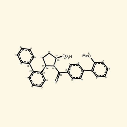 COc1ccccc1-c1ccc(C(=O)N2[C@@H](c3ccccc3-c3ccccc3)CC[C@H]2C(=O)O)cc1